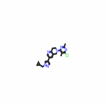 Cc1nc(Cl)c(C)c(N2CCc3ncc(-c4cnn(CC5CC5)c4)cc3C2)n1